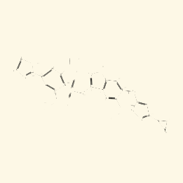 COc1cc2c(NS(=O)(=O)c3c(OC)cc(-c4ncco4)cc3OC)noc2cc1Nc1cc(C2CC2)n[nH]1